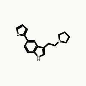 c1coc(-c2ccc3[nH]cc(CCN4CCCC4)c3c2)c1